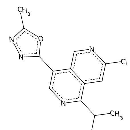 Cc1nnc(-c2cnc(C(C)C)c3cc(Cl)ncc23)o1